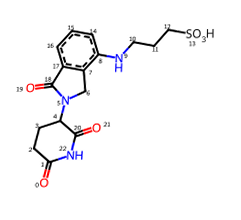 O=C1CCC(N2Cc3c(NCCCS(=O)(=O)O)cccc3C2=O)C(=O)N1